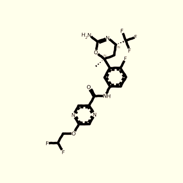 C[C@@]1(c2cc(NC(=O)c3cnc(OCC(F)F)cn3)ccc2F)C[C@@H](C(F)(F)F)N=C(N)O1